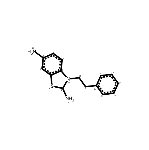 Nc1ccc2c(c1)SC(N)N2CCc1ccccc1